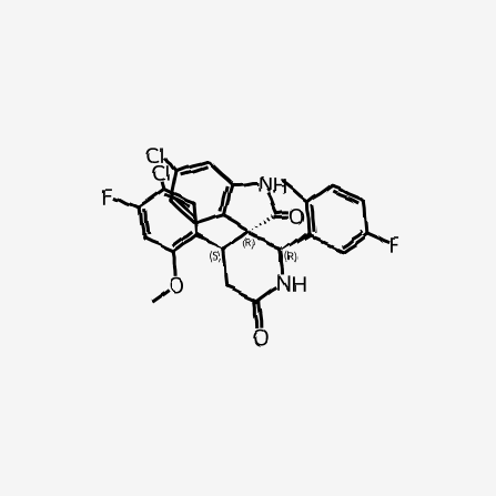 COc1cc(F)c(Cl)cc1[C@@H]1CC(=O)N[C@H](c2cc(F)ccc2C)[C@@]12C(=O)Nc1cc(Cl)ccc12